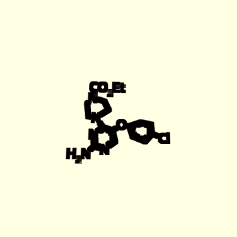 CCOC(=O)N1CCN(c2nc(N)ncc2Oc2ccc(Cl)cc2)CC1